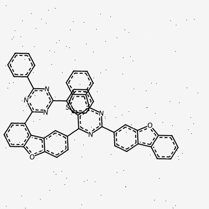 c1ccc(-c2nc(-c3ccccc3)nc(-c3cccc4oc5ccc(-c6nc(-c7ccc8c(c7)oc7ccccc78)nc7c6sc6ccccc67)cc5c34)n2)cc1